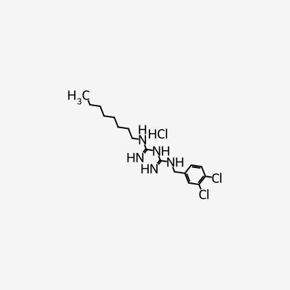 CCCCCCCCNC(=N)NC(=N)NCc1ccc(Cl)c(Cl)c1.Cl